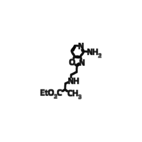 CCOC(=O)C(C)CNCCc1nc2c(N)nccc2o1